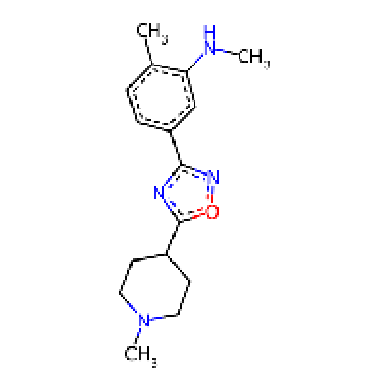 CNc1cc(-c2noc(C3CCN(C)CC3)n2)ccc1C